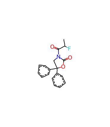 CC(F)C(=O)N1CC(c2ccccc2)(c2ccccc2)OC1=O